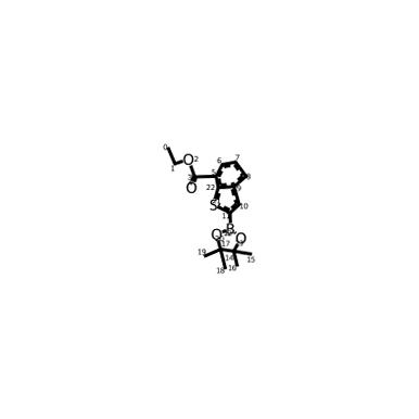 CCOC(=O)c1cccc2cc(B3OC(C)(C)C(C)(C)O3)sc12